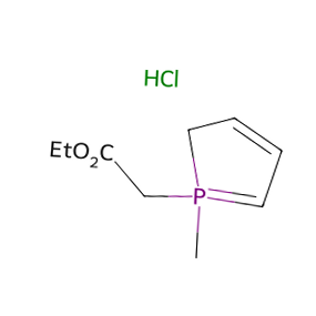 CCOC(=O)CP1(C)=CC=CC1.Cl